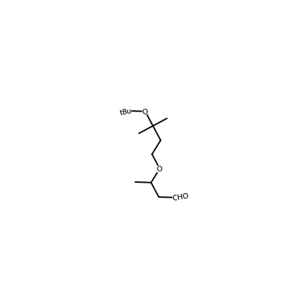 CC(CC=O)OCCC(C)(C)OC(C)(C)C